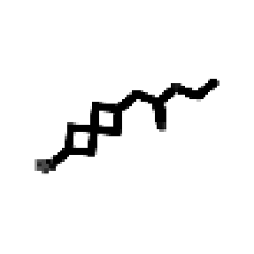 CCOC(=O)CC1CC2(CC(N)C2)C1